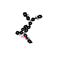 C=C(/C=C\C(=C/C)N(c1ccc2c(c1)C(c1ccccc1)(c1ccccc1)c1cc(-c3ccc(N(c4ccc(-c5nc6ccccc6o5)cc4)c4ccc5c(c4)oc4ccccc45)cc3)ccc1-2)c1ccc2c(c1)oc1ccccc12)c1nc2ccccc2o1